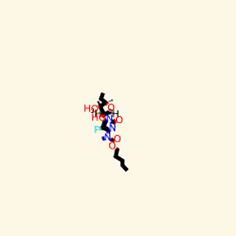 [2H][C@@]1(O)[C@](C)(O)[C@@](C)(CC)O[C@@]1([2H])n1cc(F)c(N(C)C(=O)OCCCCC)nc1=O